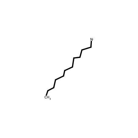 CCCCCCCCCCC[N]